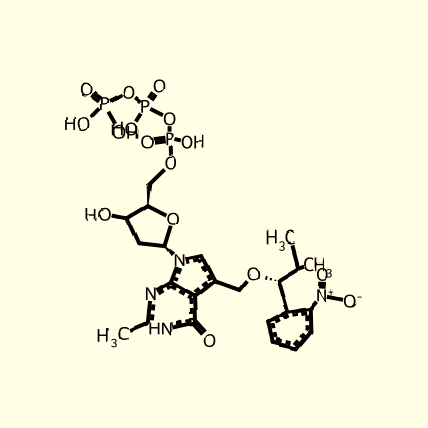 Cc1nc2c(c(CO[C@@H](c3ccccc3[N+](=O)[O-])C(C)C)cn2[C@H]2CC(O)[C@@H](COP(=O)(O)OP(=O)(O)OP(=O)(O)O)O2)c(=O)[nH]1